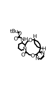 CC(C)(C)OC(=O)NC1CCCN2C(=O)COc3nccnc3[C@H]3CC[C@H](CC3)OCC12